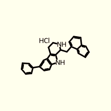 Cl.c1ccc(-c2ccc3[nH]c4c(c3c2)CCNC4Cc2cccc3ccccc23)cc1